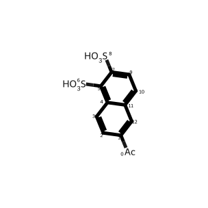 CC(=O)c1ccc2c(S(=O)(=O)O)c(S(=O)(=O)O)ccc2c1